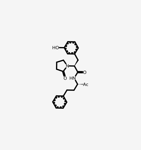 CC(=O)[C@H](CCc1ccccc1)NC(=O)[C@H](Cc1cccc(O)c1)N1CCCC1=O